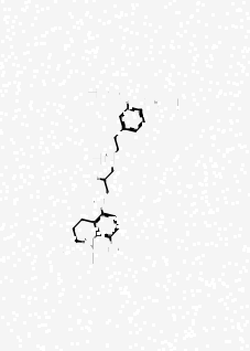 COc1ccc(CCNCC(O)COc2ccc(O)c3c2CCC(=O)N3)cc1OC